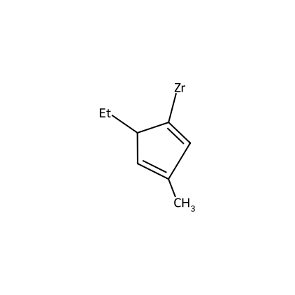 CCC1C=C(C)C=[C]1[Zr]